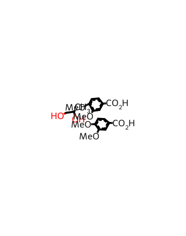 CC(O)CO.COc1ccc(C(=O)O)cc1OC.COc1ccc(C(=O)O)cc1OC